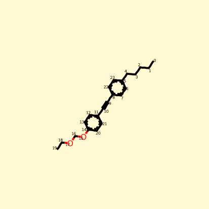 CCCCCc1ccc(C#Cc2ccc(OCOCC)cc2)cc1